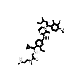 C=C1C(Nc2ccc(C(NCC(=O)N(C)CCNC)=C3CC3)c(CC)c2)=NC=CN1/C(=C\C(C)CC)c1ccc(OC)c(F)c1C